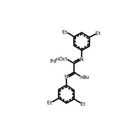 CCCCCCCCC(=N\c1cc(CC)cc(CC)c1)/C(CCCC)=N/c1cc(CC)cc(CC)c1.[Pd]